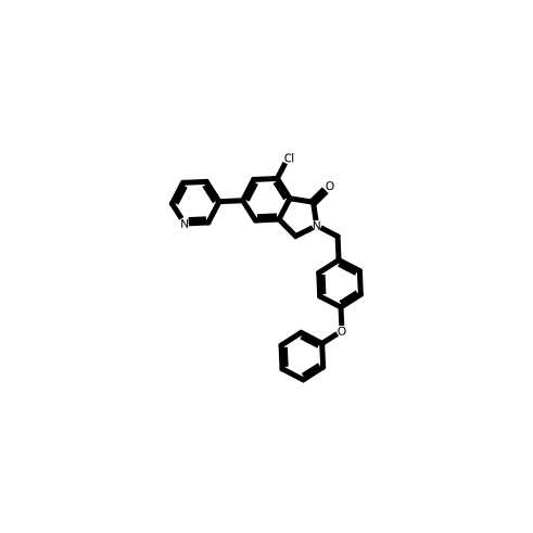 O=C1c2c(Cl)cc(-c3cccnc3)cc2CN1Cc1ccc(Oc2ccccc2)cc1